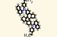 C=Cc1ccc(N(c2ccc3c(c2)-c2c4c(c5ccc(N(c6ccc(C=C)cc6)c6cccc7ccccc67)cc5c2C2CC=CC=C32)C=CCC4)c2cccc3ccccc23)cc1